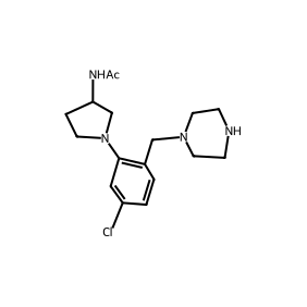 CC(=O)NC1CCN(c2cc(Cl)ccc2CN2CCNCC2)C1